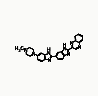 CN1CCN(c2ccc3nc(-c4ccc5nc(-c6cnc7ccccc7n6)[nH]c5c4)[nH]c3c2)CC1